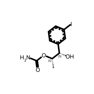 C[C@H](OC(N)=O)[C@@H](O)c1cccc(I)c1